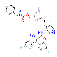 N[C@H](C(=O)Nc1cncc(F)c1CC[C@@H]1CNC[C@@H](COC(=O)NCc2ccc(F)cc2)O1)C(c1ccc(F)cc1)c1ccc(F)cc1